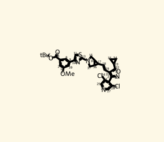 COc1cc(C(=O)OC(C)(C)C)cc(-c2csc(N3CC4C(C=Cc5c(-c6c(Cl)cncc6Cl)noc5C5CC5)C4C3)n2)c1